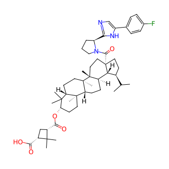 CC(C)[C@@H]1CC[C@]2(C(=O)N3CCC[C@H]3c3ncc(-c4ccc(F)cc4)[nH]3)CC[C@]3(C)[C@H](CC[C@@H]4[C@@]5(C)CC[C@H](OC(=O)[C@H]6C[C@@H](C(=O)O)C6(C)C)C(C)(C)[C@@H]5CC[C@]43C)[C@@H]12